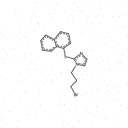 BrCCCn1ccnc1Sc1cccc2ccccc12